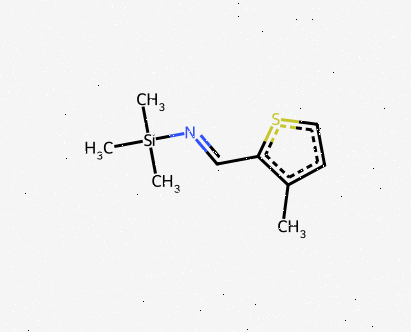 Cc1ccsc1C=N[Si](C)(C)C